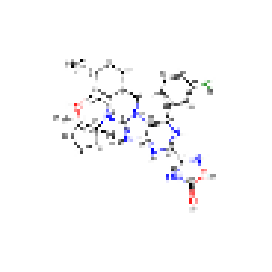 C[C@H]1CC[C@H](Cn2c(N3CCO[C@@H]4CCC[C@H]43)nc3nc(-c4noc(=O)[nH]4)nc(-c4cccc(Cl)c4)c32)CC1